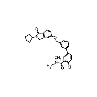 CN(C)C(=O)c1cc(-c2cccc(COc3ccc4c(c3)CN(C3CCCC3)C4=O)c2)ccc1Cl